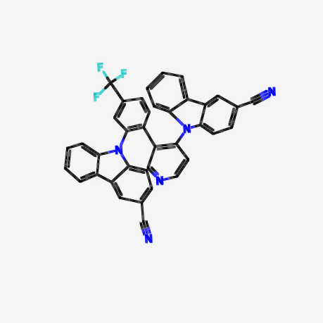 N#Cc1ccc2c(c1)c1ccccc1n2-c1ccncc1-c1ccc(C(F)(F)F)cc1-n1c2ccccc2c2cc(C#N)ccc21